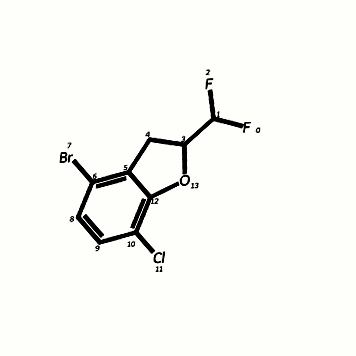 FC(F)C1Cc2c(Br)ccc(Cl)c2O1